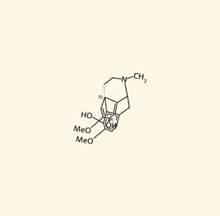 COC1=C[C@]23CCN(C)C(Cc4ccc(OC)c(O)c42)C3=C[C@H]1O